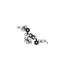 CCOc1ccccc1CN1CCC2(CC1)CCN(C(=O)c1cccc(S(C)(=O)=O)c1)CC2.O=C(O)C(F)(F)F